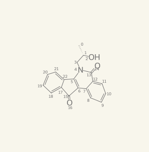 C[C@H](O)Cn1c2c(c3ccccc3c1=O)C(=O)c1ccccc1-2